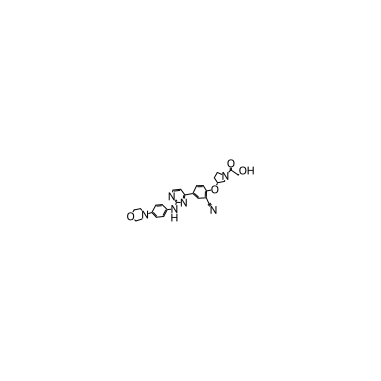 N#Cc1cc(-c2ccnc(Nc3ccc(N4CCOCC4)cc3)n2)ccc1O[C@H]1CCN(C(=O)CO)C1